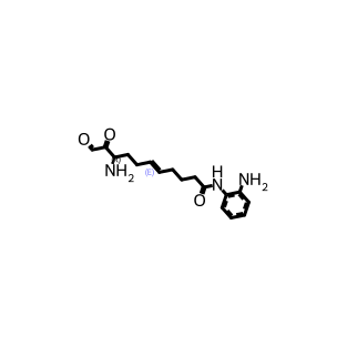 Nc1ccccc1NC(=O)CCC/C=C/CC[C@@H](N)C(=O)C=O